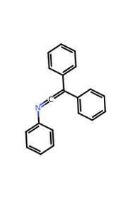 C(=Nc1ccccc1)=C(c1ccccc1)c1ccccc1